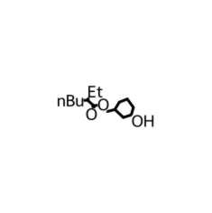 CCCCC(CC)C(=O)OCC1CCCC(O)C1